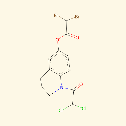 O=C(Oc1ccc2c(c1)CCCN2C(=O)C(Cl)Cl)C(Br)Br